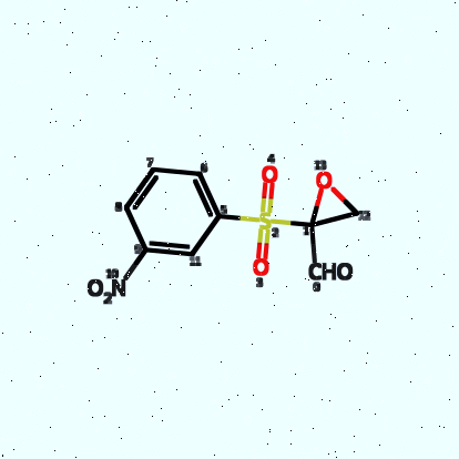 O=CC1(S(=O)(=O)c2cccc([N+](=O)[O-])c2)CO1